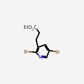 CCOC(=O)CCc1cc(Br)cnc1Br